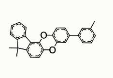 Cc1cccc(-c2ccc3c(c2)Oc2ccc4c(c2O3)-c2ccccc2C4(C)C)c1